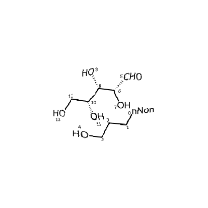 CCCCCCCCCCCCO.O=C[C@H](O)[C@@H](O)[C@H](O)CO